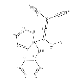 COC(=C=C(C#N)C#N)C1(Oc2ccccc2)C=CC=CC1